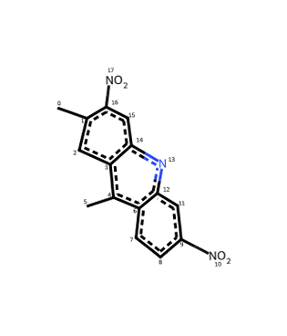 Cc1cc2c(C)c3ccc([N+](=O)[O-])cc3nc2cc1[N+](=O)[O-]